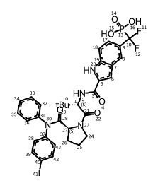 CC(C)(C)[C@H](NC(=O)c1cc2cc(C(F)(F)P(=O)(O)O)ccc2[nH]1)C(=O)N1CCC[C@H]1C(=O)N(c1ccccc1)c1ccc(I)cc1